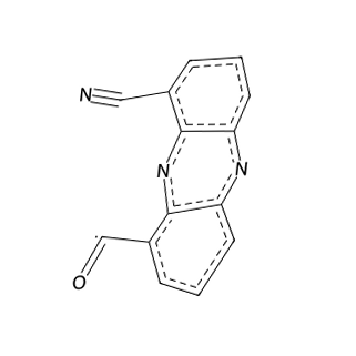 N#Cc1cccc2nc3cccc([C]=O)c3nc12